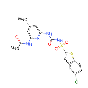 CNC(=O)Nc1cc(OC)cc(NC(=O)NS(=O)(=O)c2cc3cc(Cl)ccc3s2)n1